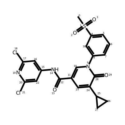 CS(=O)(=O)c1cccc(-n2cc(C(=O)Nc3cc(Cl)nc(Cl)c3)cc(C3CC3)c2=O)c1